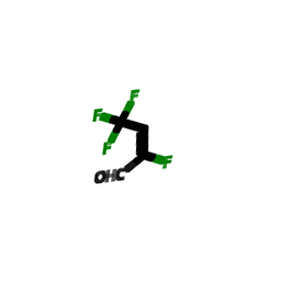 O=C/C(F)=C\C(F)(F)F